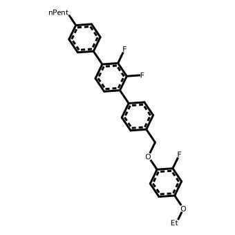 CCCCCc1ccc(-c2ccc(-c3ccc(COc4ccc(OCC)cc4F)cc3)c(F)c2F)cc1